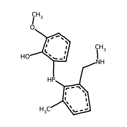 CNCc1cccc(C)c1Pc1cccc(OC)c1O